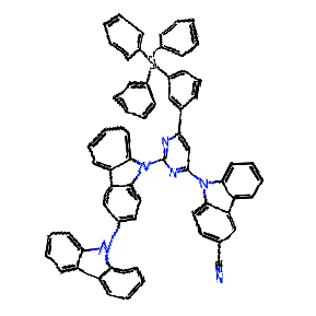 N#Cc1ccc2c(c1)c1ccccc1n2-c1cc(-c2cccc([Si](c3ccccc3)(c3ccccc3)c3ccccc3)c2)nc(-n2c3ccccc3c3cc(-n4c5ccccc5c5ccccc54)ccc32)n1